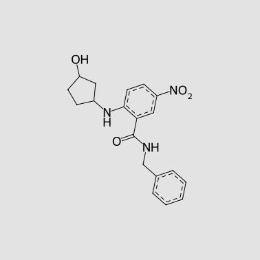 O=C(NCc1ccccc1)c1cc([N+](=O)[O-])ccc1NC1CCC(O)C1